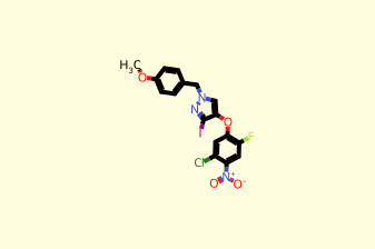 COc1ccc(Cn2cc(Oc3cc(Cl)c([N+](=O)[O-])cc3F)c(I)n2)cc1